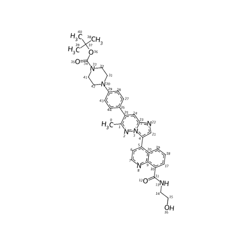 Cc1nn2c(-c3ccnc4c(C(=O)NCCO)cccc34)cnc2cc1-c1ccc(N2CCN(C(=O)OC(C)(C)C)CC2)cc1